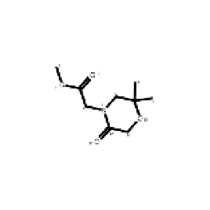 COC(=O)CN1CC(C)(C)OCC1=O